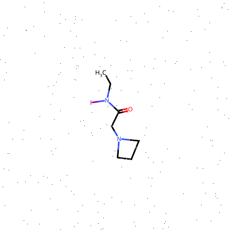 CCN(I)C(=O)CN1CCC1